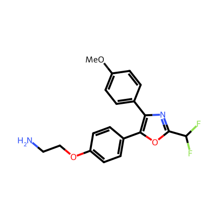 COc1ccc(-c2nc(C(F)F)oc2-c2ccc(OCCN)cc2)cc1